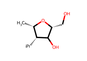 CC(C)[C@H]1C(O)[C@@H](CO)O[C@H]1C